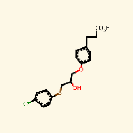 O=C(O)CCc1ccc(OCC(O)CSc2ccc(Cl)cc2)cc1